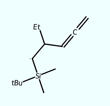 C=C=CC([CH][Si](C)(C)C(C)(C)C)CC